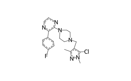 Cc1nn(C)c(Cl)c1CN1CCN(c2nccnc2-c2ccc(F)cc2)CC1